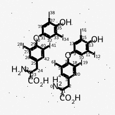 N[C@@H](Cc1cc(I)c(Oc2cc(I)c(O)c(I)c2)c(I)c1)C(=O)O.N[C@@H](Cc1cc(I)c(Oc2cc(I)c(O)c(I)c2)c(I)c1)C(=O)O